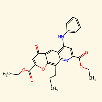 CCCc1c2nc(C(=O)OCC)cc(Nc3ccccc3)c2cc2c(=O)cc(C(=O)OCC)oc12